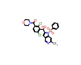 O=C(c1ccc(Cl)c(C(O)c2cc3cnc(C(F)(F)F)cc3n2S(=O)(=O)c2ccccc2)c1Cl)N1CCOCC1